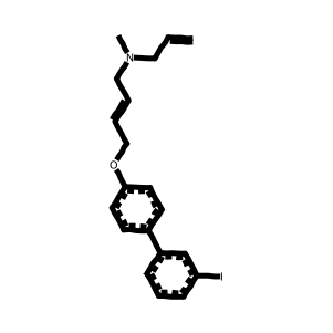 C=CCN(C)C/C=C/COc1ccc(-c2[c]ccc(I)c2)cc1